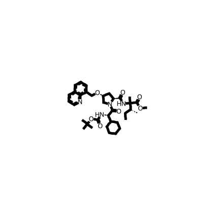 CC[C@@H](C)C(C)(NC(=O)[C@@H]1C[C@@H](OCc2cccc3cccnc23)CN1C(=O)[C@@H](NC(=O)OC(C)(C)C)C1CCCCC1)C(=O)OC